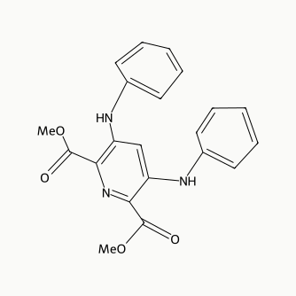 COC(=O)c1nc(C(=O)OC)c(Nc2ccccc2)cc1Nc1ccccc1